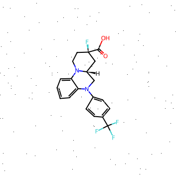 O=C(O)[C@@]1(F)CCN2c3ccccc3N(c3ccc(C(F)(F)F)cc3)C[C@H]2C1